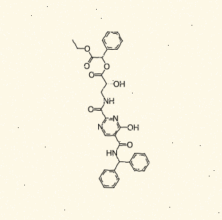 CCOC(=O)C(OC(=O)[C@H](O)CNC(=O)c1ncc(C(=O)NC(c2ccccc2)c2ccccc2)c(O)n1)c1ccccc1